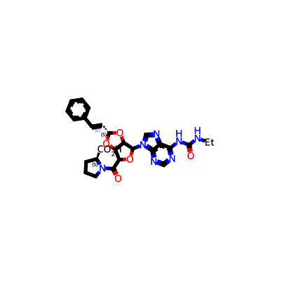 CCNC(=O)Nc1ncnc2c1ncn2C1OC(C(=O)N2CCC[C@H]2C(=O)O)C2O[C@H](/C=C/c3ccccc3)OC21